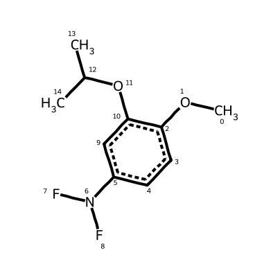 COc1ccc(N(F)F)cc1OC(C)C